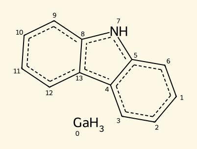 [GaH3].c1ccc2c(c1)[nH]c1ccccc12